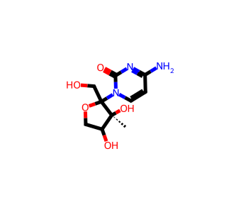 C[C@]1(O)C(O)COC1(CO)n1ccc(N)nc1=O